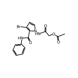 CC(=O)OCC(=O)Nn1ccc(Br)c1C(=O)Nc1ccccc1